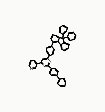 c1ccc(-c2ccc(-c3nc(-c4ccc(-c5cccc6c5-c5ccccc5C6(c5ccccc5)c5ccccc5)cc4)cc(-c4cccnc4)n3)cc2)cc1